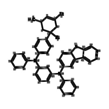 CCC1=CC(C)CC(CC)(c2ccc(N(c3ccccc3)c3cccc(N(c4ccccc4)c4ccc5sc6ccccc6c5c4)c3)cc2)C1